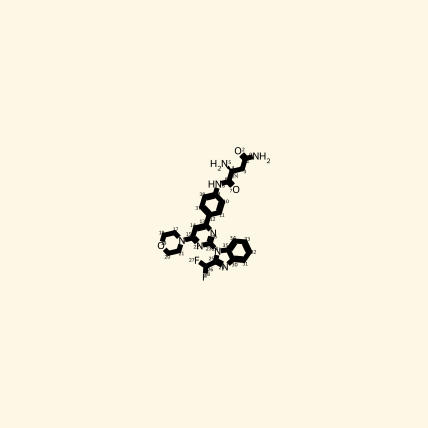 NC(=O)C[C@H](N)C(=O)Nc1ccc(-c2cc(N3CCOCC3)nc(-n3c(C(F)F)nc4ccccc43)n2)cc1